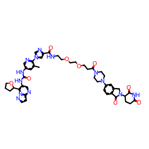 Cc1cc(NC(=O)Nc2cnc3ccnn3c2C2CCCO2)cnc1-n1cnc(C(=O)NCCOCCOCCC(=O)N2CCN(c3ccc4c(c3)CN(C3CCC(=O)NC3=O)C4=O)CC2)c1